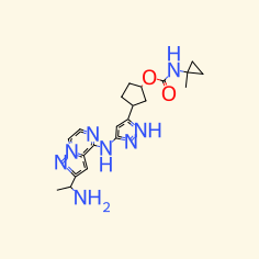 CC(N)c1cc2c(Nc3cc(C4CCC(OC(=O)NC5(C)CC5)C4)[nH]n3)nccn2n1